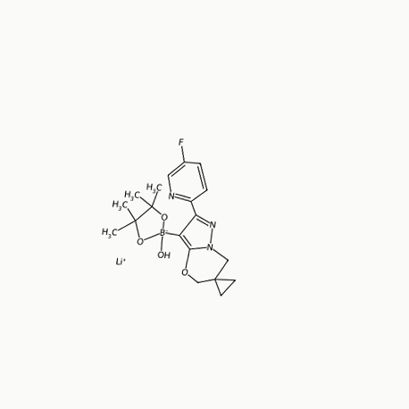 CC1(C)O[B-](O)(c2c(-c3ccc(F)cn3)nn3c2OCC2(CC2)C3)OC1(C)C.[Li+]